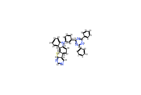 c1ccc(-c2nc(-c3ccccc3)nc(-c3cccc(-n4c5ccccc5c5c6sc7ncncc7c6ccc54)c3)n2)cc1